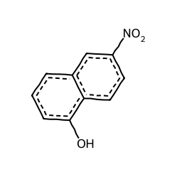 O=[N+]([O-])c1ccc2c(O)cccc2c1